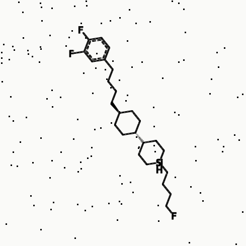 FCCCC[SiH]1CCC([C@H]2CC[C@H](CCCCc3ccc(F)c(F)c3)CC2)CC1